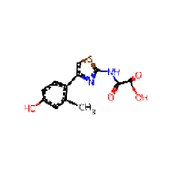 Cc1cc(O)ccc1-c1csc(NC(=O)C(=O)O)n1